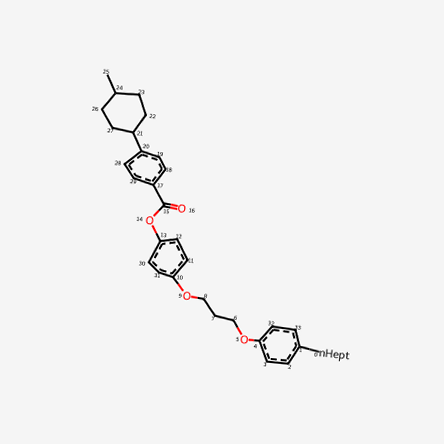 CCCCCCCc1ccc(OCCCOc2ccc(OC(=O)c3ccc(C4CCC(C)CC4)cc3)cc2)cc1